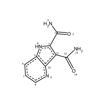 NC(=O)c1[nH]c2cccnc2c1C(N)=O